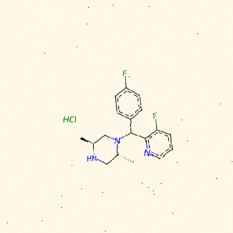 C[C@@H]1CN[C@@H](C)CN1C(c1ccc(F)cc1)c1ncccc1F.Cl